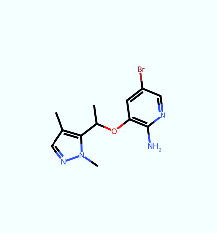 Cc1cnn(C)c1C(C)Oc1cc(Br)cnc1N